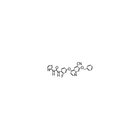 N#Cc1cc2c(Oc3ccc(NC(=O)Nc4nccs4)c(F)c3)ccnc2cc1OCc1ccccc1